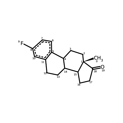 C[C@]12CCC3c4ccc(F)cc4CCC3C1CCC2=O